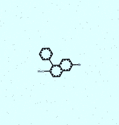 COc1ccc2cc(Br)ccc2c1-c1ccccc1